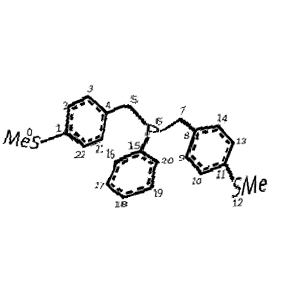 CSc1ccc(CP(Cc2ccc(SC)cc2)c2ccccc2)cc1